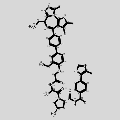 Cc1ncsc1-c1ccc(C(C)NC(=O)[C@@H]2C[C@@H](O)CN2C(=O)C(NC(=O)COc2ccc(-c3ccc(C4=N[C@@H](CC(=O)O)c5nnc(C)n5-c5sc(C)c(C)c54)cc3)cc2CO)C(C)(C)C)cc1